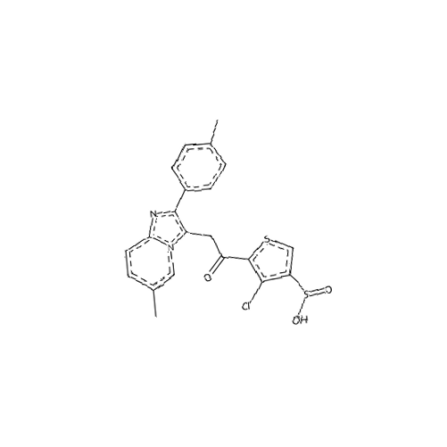 Cc1ccc(-c2nc3ccc(C)cn3c2CC(=O)c2scc(S(=O)O)c2Cl)cc1